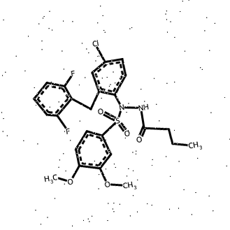 CCCC(=O)NN(c1ccc(Cl)cc1Cc1c(F)cccc1F)S(=O)(=O)c1ccc(OC)c(OC)c1